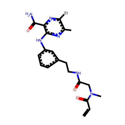 C=CC(=O)N(C)CC(=O)NCCc1cccc(Nc2nc(C)c(CC)nc2C(N)=O)c1